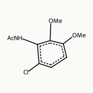 COc1ccc(Cl)c(NC(C)=O)c1OC